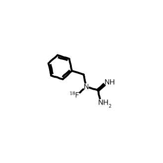 N=C(N)N([18F])Cc1ccccc1